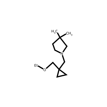 CCOCC1(CN2CCC(C)(C)C2)CC1